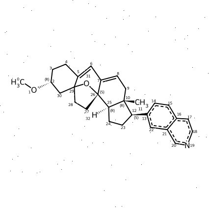 CO[C@@H]1CCC2=CC3=CC[C@]4(C)[C@@H](c5ccc6ccncc6c5)CC[C@H]4[C@@]34CCC2(C1)O4